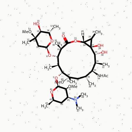 CO[C@H]1[C@H](O[C@@H]2[C@@H](C)[C@H](O[C@H]3C[C@@](C)(OC)[C@@H](O)[C@H](C)O3)[C@@H](C)C(=O)O[C@@H]3C(C)[C@]3(O)[C@H](O)[C@@H](C)[C@@H](NC(C)=O)[C@H](C)C[C@]2(C)OC)O[C@H](C)C[C@@H]1N(C)C